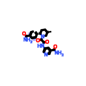 C=C(/C=C\C(=C/C)C(N)=O)[C@@H]1CC[C@@H](C)CN1C(=O)C(=O)Nc1cncc(C(N)=O)c1